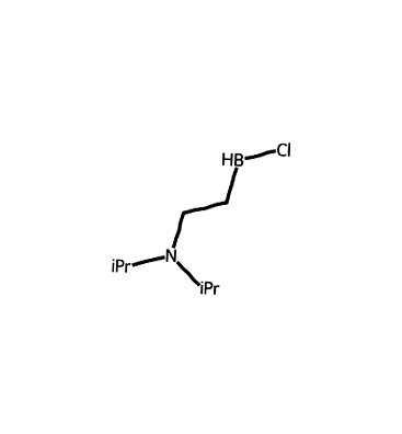 CC(C)N(CCBCl)C(C)C